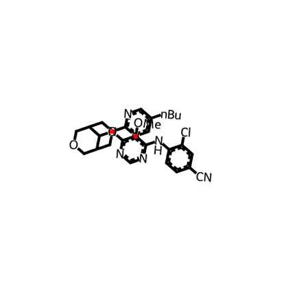 CCCCc1cnc(N2CC3COCC(C2)C3Oc2ncnc(Nc3ccc(C#N)cc3Cl)c2OC)nc1